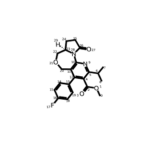 COC(=O)c1c(C(C)C)nc2c(c1-c1ccc(F)cc1)COC[C@H]1CCC(=O)N21